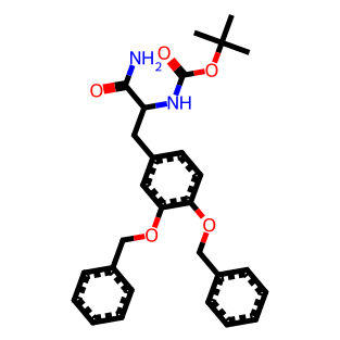 CC(C)(C)OC(=O)NC(Cc1ccc(OCc2ccccc2)c(OCc2ccccc2)c1)C(N)=O